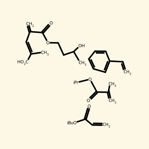 C=C(C)C(=O)OC(C)C.C=C(C=C(C)C(=O)O)C(=O)OCCC(C)O.C=CC(=O)OCC(C)C.C=Cc1ccccc1